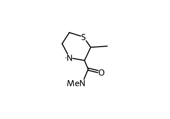 CNC(=O)C1[N]CCSC1C